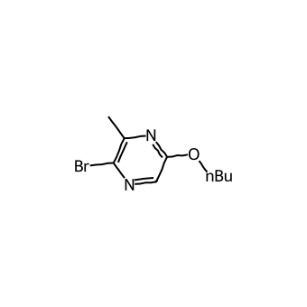 CCCCOc1cnc(Br)c(C)n1